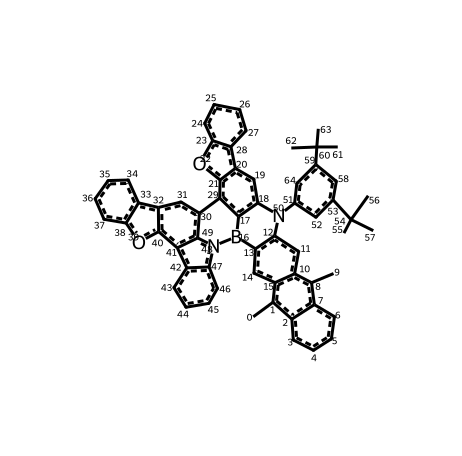 Cc1c2ccccc2c(C)c2cc3c(cc12)B1c2c(cc4c(oc5ccccc54)c2-c2cc4c5ccccc5oc4c4c5ccccc5n1c24)N3c1cc(C(C)(C)C)cc(C(C)(C)C)c1